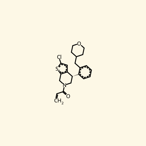 C=CC(=O)N1Cc2sc(Cl)cc2[C@H](c2ccccc2CC2CCOCC2)C1